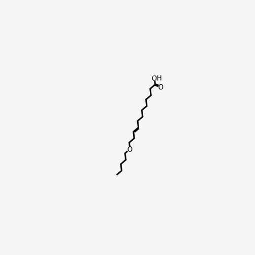 CCCCCOCC/C=C/CCCCCCCC(=O)O